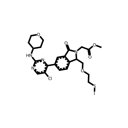 COC(=O)CN1C(=O)c2cc(-c3nc(NC4CCOCC4)ncc3Cl)ccc2C1COCCSI